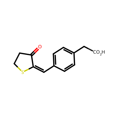 O=C(O)Cc1ccc(C=C2SCCC2=O)cc1